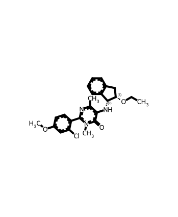 CCO[C@H]1Cc2ccccc2[C@H]1Nc1c(C)nc(-c2ccc(OC)cc2Cl)n(C)c1=O